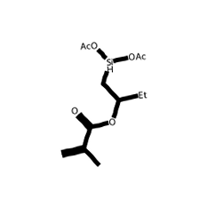 C=C(C)C(=O)OC(CC)C[SiH](OC(C)=O)OC(C)=O